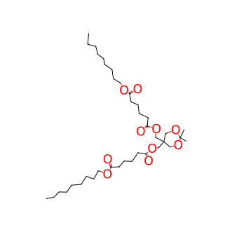 CCCCCCCCCOC(=O)CCCCC(=O)OCC1(COC(=O)CCCCC(=O)OCCCCCCCCC)COC(C)(C)OC1